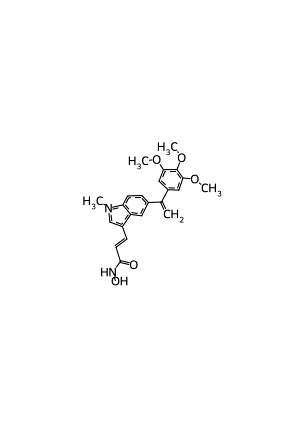 C=C(c1cc(OC)c(OC)c(OC)c1)c1ccc2c(c1)c(/C=C/C(=O)NO)cn2C